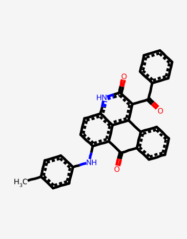 Cc1ccc(Nc2ccc3[nH]c(=O)c(C(=O)c4ccccc4)c4c3c2C(=O)c2ccccc2-4)cc1